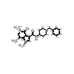 Cc1cn(C)c(=O)c2c(C(=O)NC3CCN(Cc4ccccc4)CC3)cn(C)c12